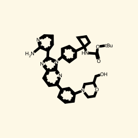 CC(C)(C)OC(=O)NC1(c2ccc(-n3c(-c4cccnc4N)nc4ccc(-c5cccc(N6CCOC(CO)C6)c5)nc43)cc2)CCC1